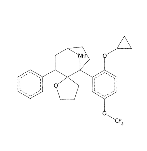 FC(F)(F)Oc1ccc(OC2CC2)c(C23CCC(CC(c4ccccc4)C24CCCO4)N3)c1